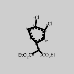 CCOC(=O)C(C(=O)OCC)c1ccc(Cl)c(Cl)c1